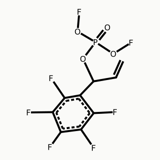 C=CC(OP(=O)(OF)OF)c1c(F)c(F)c(F)c(F)c1F